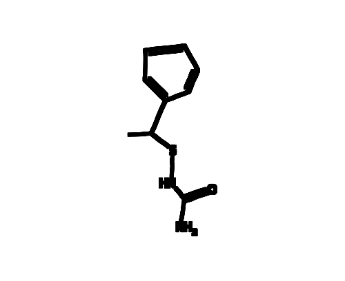 CC(SNC(N)=O)c1ccccc1